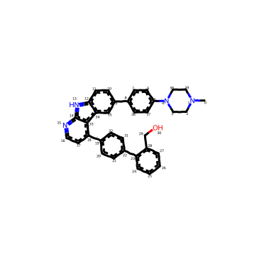 CN1CCN(c2ccc(-c3ccc4[nH]c5nccc(-c6ccc(-c7ccccc7CO)cc6)c5c4c3)cc2)CC1